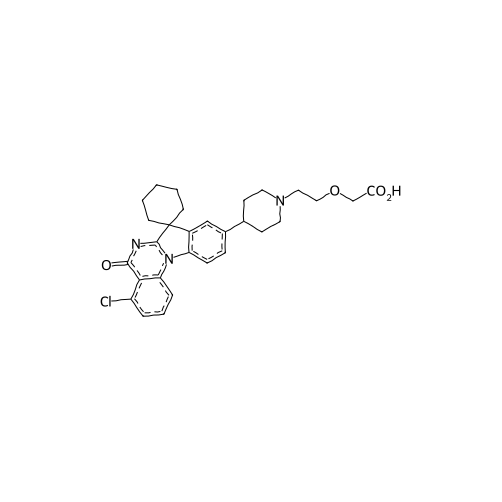 O=C(O)COCCN1CCC(c2ccc3c(c2)C2(CCCCC2)c2nc(=O)c4c(Cl)cccc4n2-3)CC1